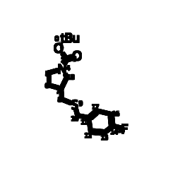 CC(C)(C)OC(=O)N1CCC(CSCc2ccc(F)cc2)C1